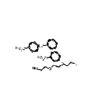 O=C(O)c1ccccc1.O=C(O)c1ccccc1.O=C(O)c1ccccc1.OCCOCCOCCO